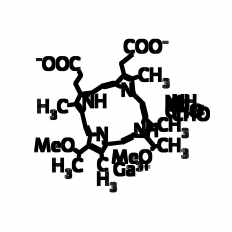 COC(C)C1=C(C)c2cc3[nH]c(cc4nc(cc5[nH]c(cc1n2)c(C)c5CCC(=O)[O-])C(CCC(=O)[O-])=C4C)c(C)c3C(C)OC.NC=O.NC=O.[Cl-].[Ga+3]